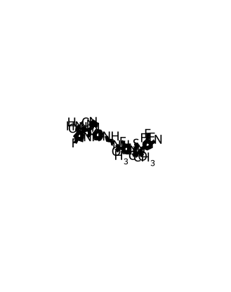 Cn1ncnc1C1c2n[nH]c(=O)c3cc(F)cc(c23)N[C@@H]1c1ccc(NCCCNC(=O)c2ccc(N3C(=S)N(c4ccc(C#N)c(C(F)(F)F)c4)C(=O)C3(C)C)cc2F)cc1